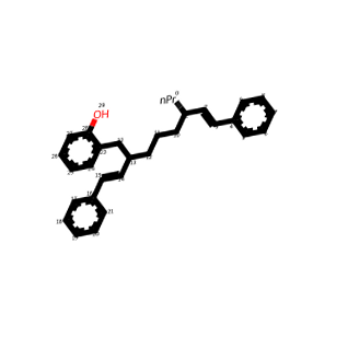 CCCC(C=Cc1ccccc1)CCCC(C=Cc1ccccc1)Cc1ccccc1O